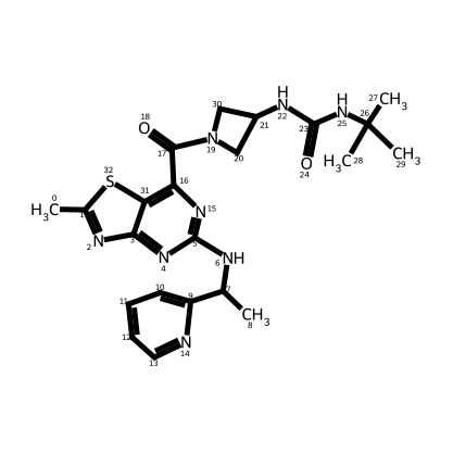 Cc1nc2nc(NC(C)c3ccccn3)nc(C(=O)N3CC(NC(=O)NC(C)(C)C)C3)c2s1